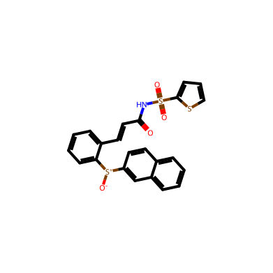 O=C(C=Cc1ccccc1[S+]([O-])c1ccc2ccccc2c1)NS(=O)(=O)c1cccs1